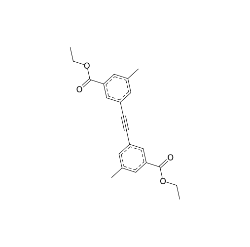 CCOC(=O)c1cc(C)cc(C#Cc2cc(C)cc(C(=O)OCC)c2)c1